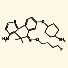 CC1(C)/C(=N/OCCCCF)c2cc(OC3CCC(N)CC3)ccc2-c2ncnc(N)c21